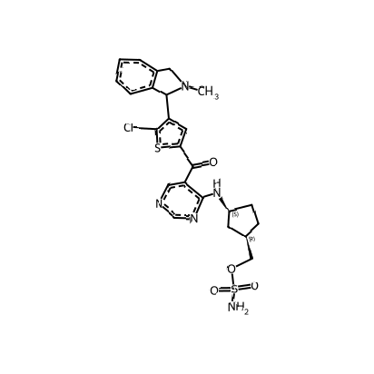 CN1Cc2ccccc2C1c1cc(C(=O)c2cncnc2N[C@H]2CC[C@@H](COS(N)(=O)=O)C2)sc1Cl